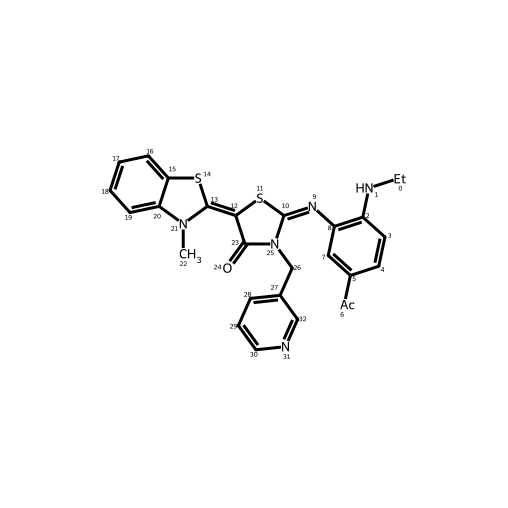 CCNc1ccc(C(C)=O)cc1/N=C1/S/C(=C2\Sc3ccccc3N2C)C(=O)N1Cc1cccnc1